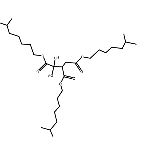 CC(C)CCCCCOC(=O)CC(C(=O)OCCCCCC(C)C)C(O)(O)C(=O)OCCCCCC(C)C